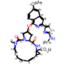 COc1ccc2c(OC3CC4C(=O)NC5(C(=O)O)CC5/C=C\CCCCN(C)C(=O)N4C3)nc(-c3csc(NC(C)C)n3)cc2c1